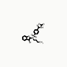 CCCCN(c1sc2ccccc2c1Br)S(=O)(=O)c1ccc(-c2noc(=O)[nH]2)cc1